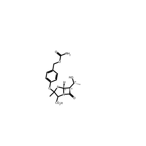 C[C@@H](O)[C@H]1C(=O)N2C(C(=O)O)C(C)(Oc3ccc(COC(N)=O)cc3)S[C@H]12